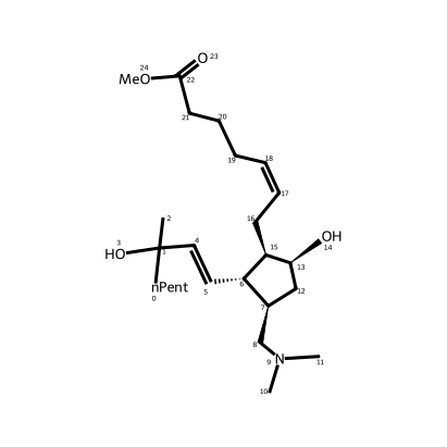 CCCCCC(C)(O)/C=C/[C@H]1[C@H](CN(C)C)C[C@H](O)[C@@H]1C/C=C\CCCC(=O)OC